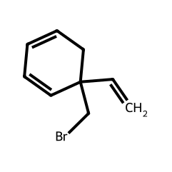 C=CC1(CBr)C=CC=CC1